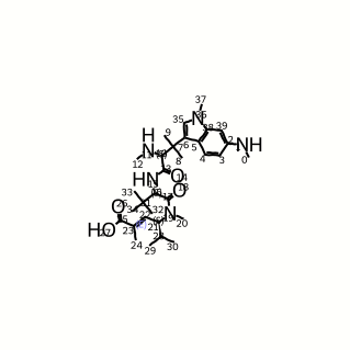 CNc1ccc2c(C(C)(C)[C@H](NC)C(=O)N[C@H](C(=O)N(C)[C@H](/C=C(\C)C(=O)O)C(C)C)C(C)(C)C)cn(C)c2c1